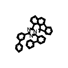 CC1(C)c2ccccc2-c2ccc3cccc(-c4nc(-c5cccc(-c6ccccc6)c5)nc(-c5ccccc5-c5ccccc5)n4)c3c21